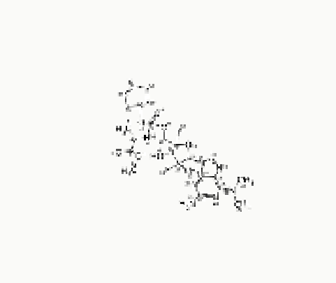 COC(=O)[C@H](C)N[P@@](=O)(OC[C@@]1(F)O[C@@H](n2cnc3c(N(C)C)nc(N)nc32)[C@](C)(F)[C@@H]1O)Oc1ccccc1